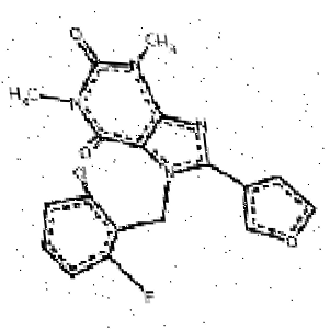 Cn1c(=O)c2c(nc(-c3ccoc3)n2Cc2c(F)cccc2Cl)n(C)c1=O